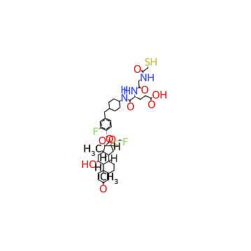 C[C@]12C=CC(=O)C=C1CC[C@@H]1[C@@H]2[C@@H](O)C[C@@]2(C)[C@H]1C[C@H]1O[C@@H](c3ccc(CC4CCC(NC(=O)[C@H](CCC(=O)O)NC(=O)CNC(=O)CS)CC4)cc3F)O[C@]12C(=O)SCF